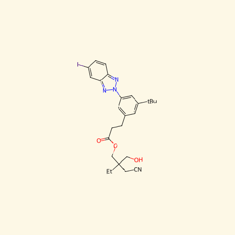 CCC(CO)(CC#N)COC(=O)CCc1cc(-n2nc3ccc(I)cc3n2)cc(C(C)(C)C)c1